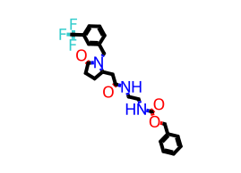 O=C(CC1CCC(=O)N1Cc1cccc(C(F)(F)F)c1)NCCNC(=O)OCc1ccccc1